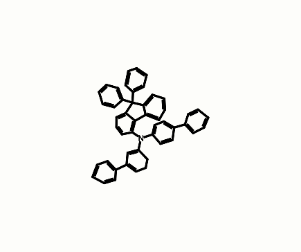 C1=C(c2ccccc2)C=C(N(c2ccc(-c3ccccc3)cc2)c2cccc3c2-c2ccccc2C3(c2ccccc2)c2ccccc2)CC1